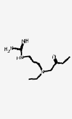 CCC(=O)CN(CC)CCCNC(=N)N